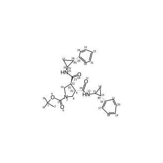 CC(C)(C)OC(=O)N1C[C@@H](C(=O)NC2C[C@@H]2c2ccccc2)[C@H](C(=O)N[C@H]2C[C@@H]2c2ccccc2)C1